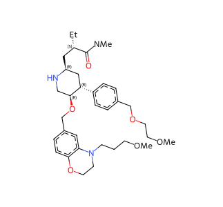 CC[C@@H](C[C@H]1C[C@H](c2ccc(COCCOC)cc2)[C@@H](OCc2ccc3c(c2)N(CCCOC)CCO3)CN1)C(=O)NC